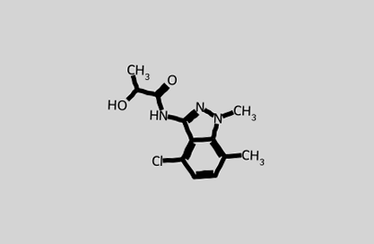 Cc1ccc(Cl)c2c(NC(=O)C(C)O)nn(C)c12